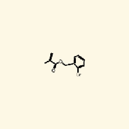 C=C(C)C(=O)OCc1ccccc1Br